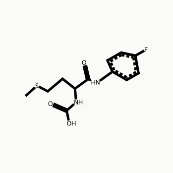 CSCCC(NC(=O)O)C(=O)Nc1ccc(F)cc1